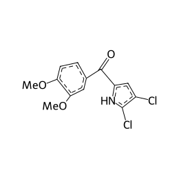 COc1ccc(C(=O)c2cc(Cl)c(Cl)[nH]2)cc1OC